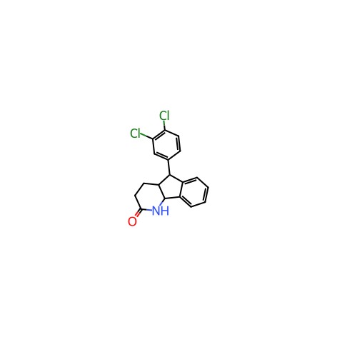 O=C1CCC2C(N1)c1ccccc1C2c1ccc(Cl)c(Cl)c1